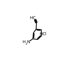 C#Cc1cccc(N)c1.Cl